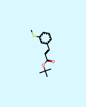 CSc1cccc(/C=C/C(=O)OC(C)(C)C)c1